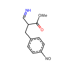 COC(=O)C(C=N)Cc1ccc(N=O)cc1